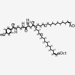 CCCCCCCC/C=C\CCCCCCCCOCCCN(CCCOCCCCCCCC/C=C\CCCCCCCC)C(=O)C[C@@H](N)C(=O)NCCNC(=O)c1ccc(OC)cc1